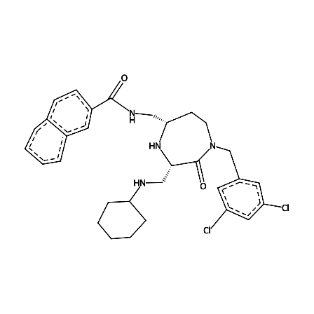 O=C(NC[C@@H]1CCN(Cc2cc(Cl)cc(Cl)c2)C(=O)[C@H](CNC2CCCCC2)N1)c1ccc2ccccc2c1